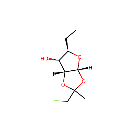 CC[C@H]1O[C@@H]2OC(C)(CF)O[C@@H]2[C@H]1O